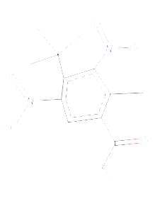 CCC(=O)c1cc([N+](=O)[O-])c(C(C)(C)C)c([N+](=O)[O-])c1C